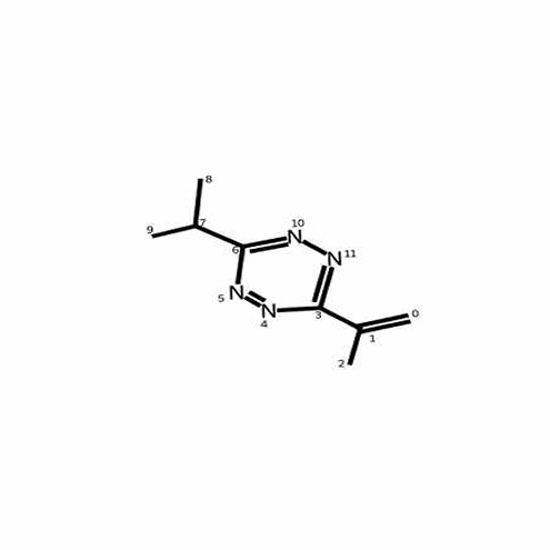 C=C(C)c1nnc(C(C)C)nn1